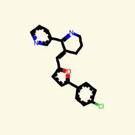 Clc1ccc(-c2ccc(C=C3CCCN=C3c3cccnc3)o2)cc1